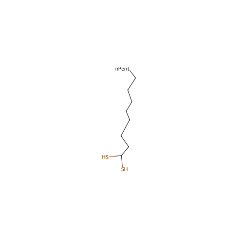 CCCCCCCCCCCCC(S)S